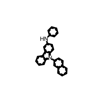 c1ccc(Nc2ccc3c(c2)c2ccccc2n3-c2ccc3ccccc3c2)cc1